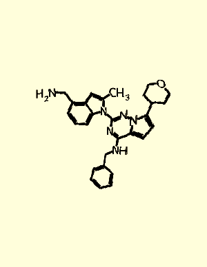 Cc1cc2c(CN)cccc2n1-c1nc(NCc2ccccc2)c2ccc(C3CCOCC3)n2n1